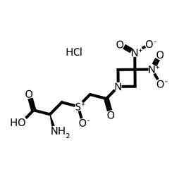 Cl.N[C@H](C[S+]([O-])CC(=O)N1CC([N+](=O)[O-])([N+](=O)[O-])C1)C(=O)O